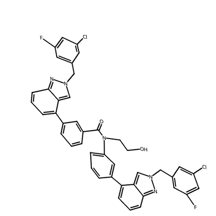 O=C(c1cccc(-c2cccc3nn(Cc4cc(F)cc(Cl)c4)cc23)c1)N(CCO)c1cccc(-c2cccc3nn(Cc4cc(F)cc(Cl)c4)cc23)c1